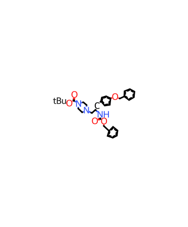 CC(C)(C)OC(=O)N1CCN(CC(Cc2ccc(OCc3ccccc3)cc2)NC(=O)OCc2ccccc2)CC1